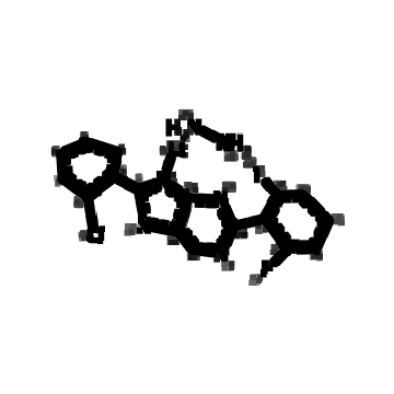 CCn1c(-c2ccccc2Cl)nc2cnc(-c3c(F)cccc3F)nc21.NN